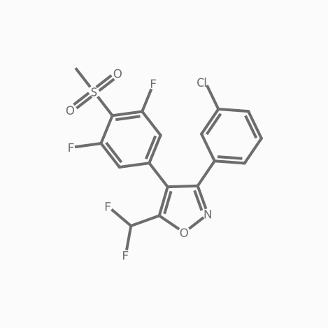 CS(=O)(=O)c1c(F)cc(-c2c(-c3cccc(Cl)c3)noc2C(F)F)cc1F